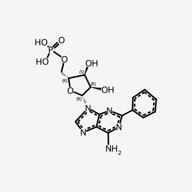 Nc1nc(-c2ccccc2)nc2c1ncn2[C@@H]1O[C@H](COP(=O)(O)O)[C@@H](O)[C@H]1O